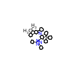 CC1(C)c2ccccc2-c2cc3c(cc21)c1ccccc1n3-c1cc(-c2nc(-c3ccccc3)nc(-c3ccccc3)n2)cc([Si](c2ccccc2)(c2ccccc2)c2ccccc2)c1